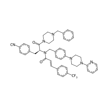 [C-]#[N+]c1ccc(C[C@@H](C(=O)N2CCN(Cc3ccccc3)CC2)N(Cc2ccc(N3CCN(c4ccccn4)CC3)cc2)C(=O)/C=C/c2ccc(C(F)(F)F)cc2)cc1